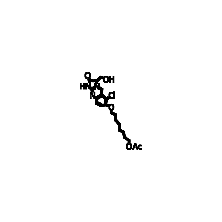 CC(=O)OCCCCCCCCOc1ccc2c(c1Cl)CN1C(=N2)NC(=O)C1CO